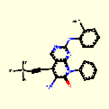 COc1ccccc1Nc1ncc2c(C#C[Si](C(C)C)(C(C)C)C(C)C)c(N)c(=O)n(-c3ccccc3)c2n1